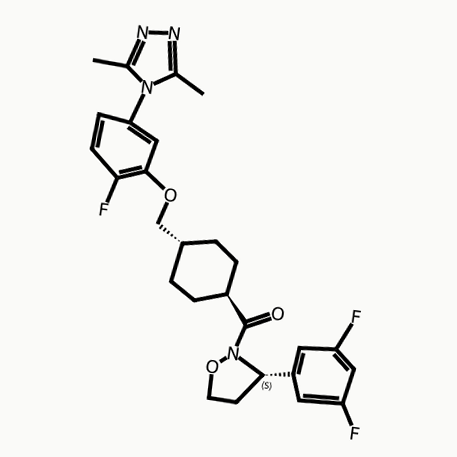 Cc1nnc(C)n1-c1ccc(F)c(OC[C@H]2CC[C@H](C(=O)N3OCC[C@H]3c3cc(F)cc(F)c3)CC2)c1